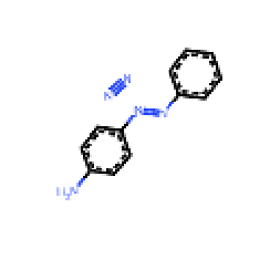 N#N.Nc1ccc(N=Nc2ccccc2)cc1